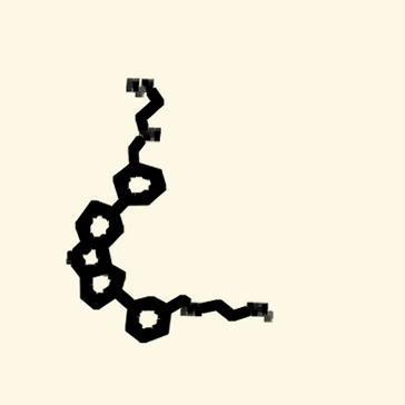 NCCNCc1cccc(-c2ccc3sc4ccc(-c5cccc(CNCCN)c5)cc4c3c2)c1